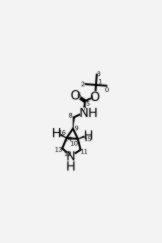 CC(C)(C)OC(=O)NC[C@H]1[C@@H]2CNC[C@@H]21